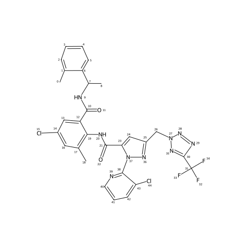 Cc1ccccc1C(C)NC(=O)c1cc(Cl)cc(C)c1NC(=O)c1cc(Cn2nnc(C(F)(F)F)n2)nn1-c1ncccc1Cl